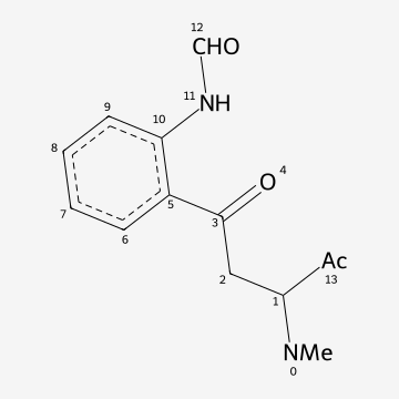 CNC(CC(=O)c1ccccc1NC=O)C(C)=O